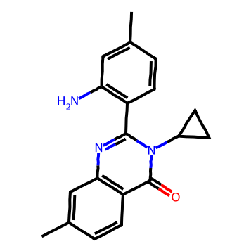 Cc1ccc(-c2nc3cc(C)ccc3c(=O)n2C2CC2)c(N)c1